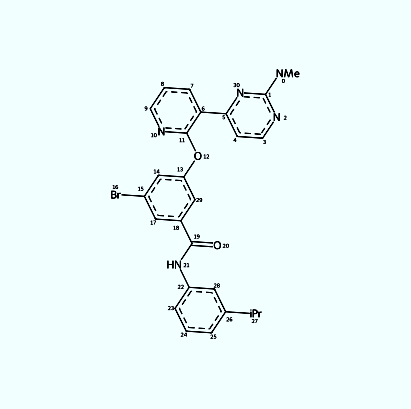 CNc1nccc(-c2cccnc2Oc2cc(Br)cc(C(=O)Nc3cccc(C(C)C)c3)c2)n1